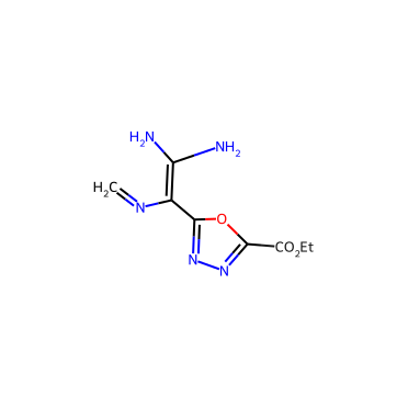 C=NC(=C(N)N)c1nnc(C(=O)OCC)o1